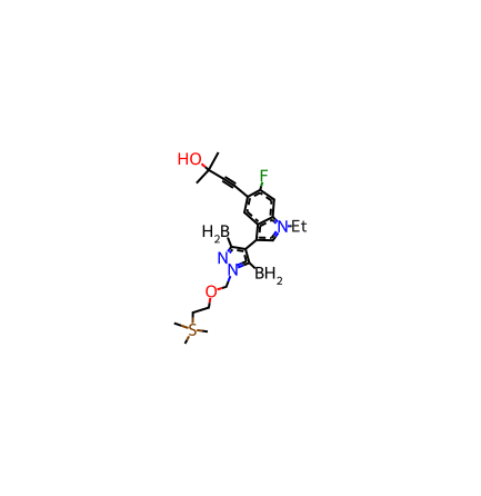 Bc1nn(COCCS(C)(C)C)c(B)c1-c1cn(CC)c2cc(F)c(C#CC(C)(C)O)cc12